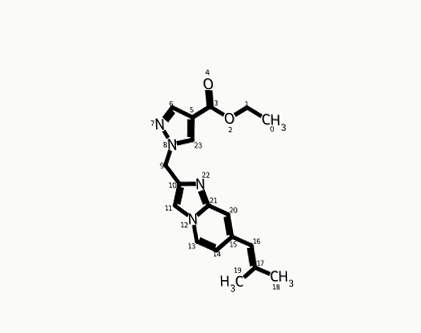 CCOC(=O)c1cnn(Cc2cn3ccc(C=C(C)C)cc3n2)c1